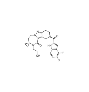 O=C(c1cc2c(F)c(F)ccc2[nH]1)N1CCc2nn3c(c2C1)C(=O)N(CCO)C1(CC3)CC1